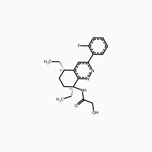 CC[C@H]1CC[C@](CC)(NC(=O)CO)c2nnc(-c3ccccc3F)cc21